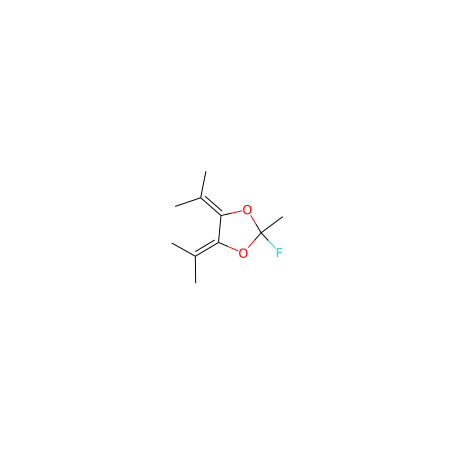 CC(C)=C1OC(C)(F)OC1=C(C)C